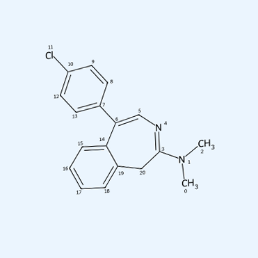 CN(C)C1=NC=C(c2ccc(Cl)cc2)c2ccccc2C1